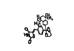 CC1(C)CCC(C)(C)c2cc(C3(c4ccc(/C=C5\SC(=O)NC5=O)cc4)OCCO3)ccc21